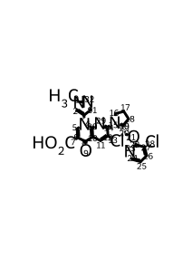 Cn1cc(-n2cc(C(=O)O)c(=O)c3cc(Cl)c(N4CCC[C@@H]4COc4ncccc4Cl)nc32)cn1